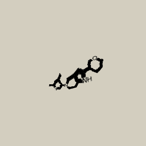 Cc1cc(C)c(N2CCc3[nH]c(C4CCCOC4)cc3C2)cn1